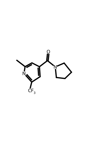 Cc1cc(C(=O)N2CCCC2)cc(C(F)(F)F)n1